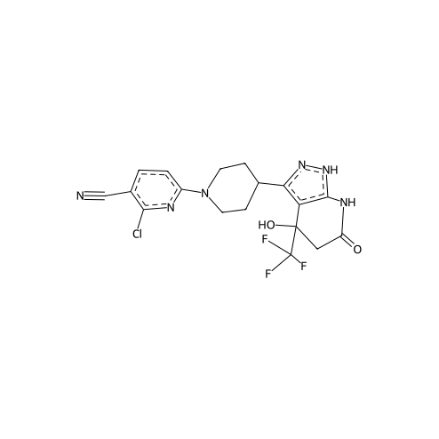 N#Cc1ccc(N2CCC(c3n[nH]c4c3C(O)(C(F)(F)F)CC(=O)N4)CC2)nc1Cl